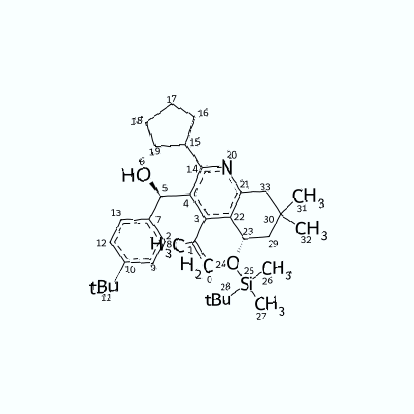 C=C(C)c1c([C@H](O)c2ccc(C(C)(C)C)cc2)c(C2CCCC2)nc2c1[C@@H](O[Si](C)(C)C(C)(C)C)CC(C)(C)C2